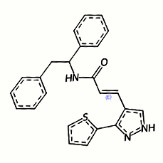 O=C(/C=C/c1c[nH]nc1-c1cccs1)NC(Cc1ccccc1)c1ccccc1